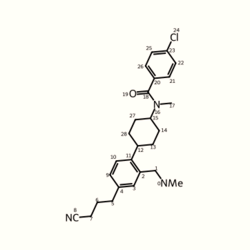 CNCc1cc(CCCC#N)ccc1C1CCC(N(C)C(=O)c2ccc(Cl)cc2)CC1